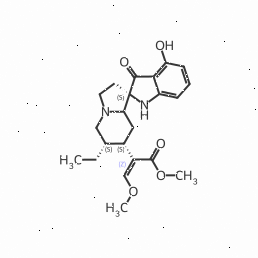 CC[C@@H]1CN2CC[C@]3(Nc4cccc(O)c4C3=O)C2C[C@@H]1/C(=C/OC)C(=O)OC